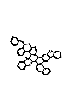 CC1c2cc3oc4ccccc4c3cc2-c2c(ccc3ccccc23)C1c1nc2ccccc2nc1-c1cccc2c1-c1ccccc1/C(=C\c1ccccc1)C2